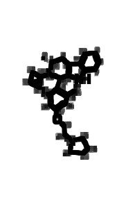 C[C@@H]1Cc2c([nH]c3ccccc23)[C@@H](c2c(F)cc(OCCN3CCCC3)cc2F)N1C12CC(C1)C2